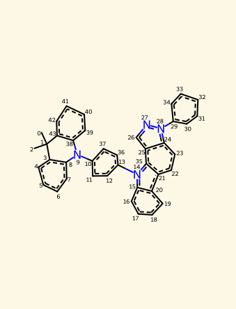 CC1(C)c2ccccc2N(c2ccc(-n3c4ccccc4c4ccc5c(cnn5-c5ccccc5)c43)cc2)c2ccccc21